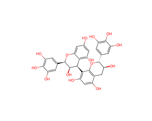 Oc1cc(O)c2c(c1)O[C@H](c1cc(O)c(O)c(O)c1)[C@H](O)[C@@H]2c1c(O)cc(O)c2c1O[C@H](c1cc(O)c(O)c(O)c1)[C@@H](O)C2